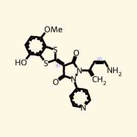 C=C(/C=C\N)N1C(=O)/C(=C2/Sc3c(O)ccc(OC)c3S2)C(=O)N1c1ccncc1